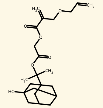 C=CCOCC(=C)C(=O)OCC(=O)OC(C)(C)C12CC3CC(CC(O)(C3)C1)C2